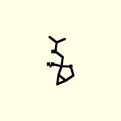 CC(C)NCC1(N)OCC2CC21